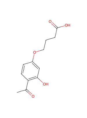 CC(=O)c1ccc(OCCCC(=O)O)cc1O